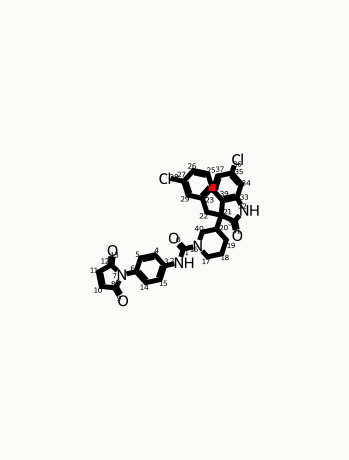 O=C(Nc1ccc(N2C(=O)C=CC2=O)cc1)N1CCCC(C2(Cc3cccc(Cl)c3)C(=O)Nc3cc(Cl)ccc32)C1